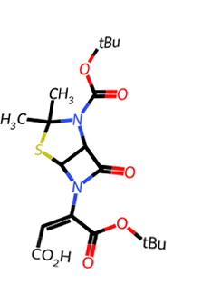 CC(C)(C)OC(=O)C(=CC(=O)O)N1C(=O)C2C1SC(C)(C)N2C(=O)OC(C)(C)C